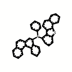 c1ccc(N(c2cc3ccc4ccccc4c3c3ccccc23)c2cccc3sc4c5ccccc5ccc4c23)cc1